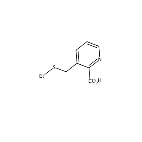 CCSCc1cccnc1C(=O)O